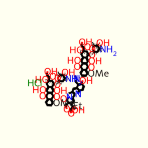 CC[C@@]1(O)C(=O)OCc2c1cc1n(c2=O)Cc2cc3c(CN(C)C)c(O)ccc3nc2-1.COc1cccc2c1C(=O)c1c(O)c3c(c(O)c1C2=O)C[C@@](O)(C(=O)CO)C[C@@H]3O[C@H]1C[C@H](N)[C@@H](O)[C@H](C)O1.COc1cccc2c1C(=O)c1c(O)c3c(c(O)c1C2=O)C[C@@](O)(C(=O)CO)C[C@@H]3O[C@H]1C[C@H](N)[C@H](O)[C@H](C)O1.Cl